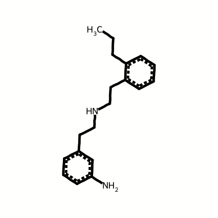 CCCc1ccccc1CCNCCc1cccc(N)c1